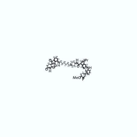 CO[C@H]1CCN(c2nccc(Nc3cc4c(cn3)c(C(=O)NC3CCN(CCCCCCNc5cccc6c5C(=O)N(C5CCC(=O)NC5=O)C6=O)CC3)cn4C(C)C)n2)C[C@H]1F